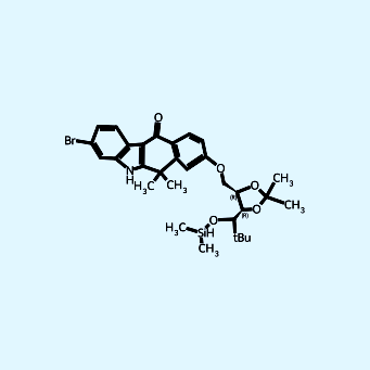 C[SiH](C)OC([C@@H]1OC(C)(C)O[C@@H]1COc1ccc2c(c1)C(C)(C)c1[nH]c3cc(Br)ccc3c1C2=O)C(C)(C)C